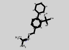 C/C(N)=N\OCc1ccc(C2CCCCC2)c(C(F)(F)F)c1